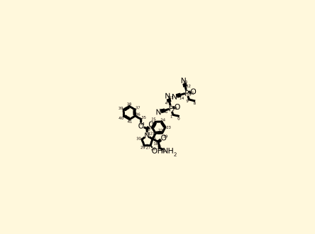 CCP(=O)(C#N)C#N.CCP(=O)(C#N)C#N.NCC(=O)C1(c2ccccc2)[C@@H](O)CCN1C(=O)OCc1ccccc1